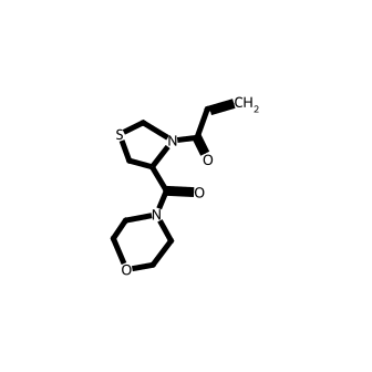 C=CC(=O)N1CSCC1C(=O)N1CCOCC1